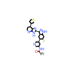 CC(C)C(=O)Nc1cncc(-c2cc3c(-c4nc5c(-c6ccsc6)ccnc5[nH]4)n[nH]c3cc2F)c1